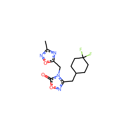 Cc1noc(Cn2c(CC3CCC(F)(F)CC3)noc2=O)n1